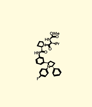 COC(=O)N[C@H](C(=O)N1CCC[C@@H]1C(=O)Nc1cccc([C@H]2CC[C@H](c3ccccc3)N2c2ccc(F)cc2)c1)C(C)C